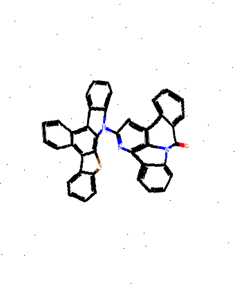 O=c1c2ccccc2c2cc(-n3c4ccccc4c4c5ccccc5c5c6ccccc6sc5c43)nc3c4ccccc4n1c23